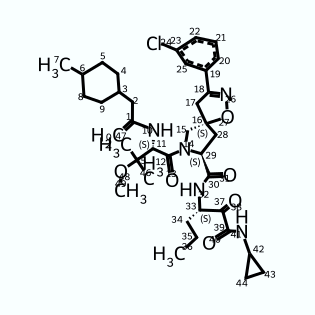 C=C(CC1CCC(C)CC1)N[C@H](C(=O)N1C[C@@]2(CC(c3cccc(Cl)c3)=NO2)C[C@H]1C(=O)N[C@@H](CCC)C(=O)C(=O)NC1CC1)C(C)(C)OC